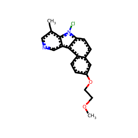 COCCOc1ccc2c(ccc3c2c2cncc(C)c2n3Cl)c1